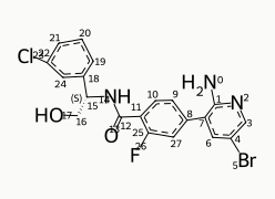 Nc1ncc(Br)cc1-c1ccc(C(=O)N[C@H](CO)c2cccc(Cl)c2)c(F)c1